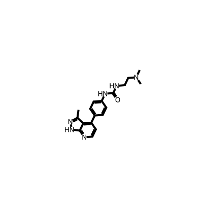 Cc1n[nH]c2nccc(-c3ccc(NC(=O)NCCN(C)C)cc3)c12